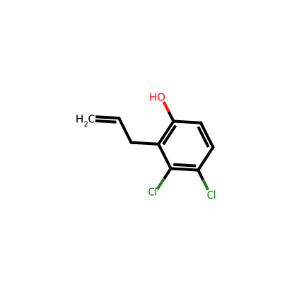 C=CCc1c(O)ccc(Cl)c1Cl